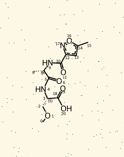 COC[C@H](NC(=O)[C@H](C)NC(=O)c1cc(C)on1)C(=O)O